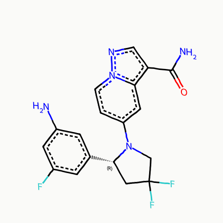 NC(=O)c1cnn2ccc(N3CC(F)(F)C[C@@H]3c3cc(N)cc(F)c3)cc12